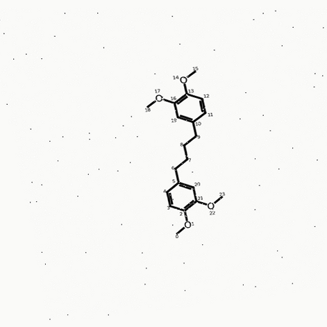 COc1ccc(CCCCc2ccc(OC)c(OC)c2)cc1OC